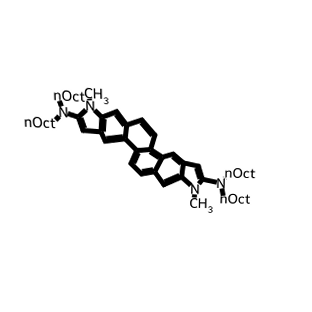 CCCCCCCCN(CCCCCCCC)c1cc2cc3c(ccc4c5cc6cc(N(CCCCCCCC)CCCCCCCC)n(C)c6cc5ccc34)cc2n1C